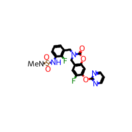 CNS(=O)(=O)Nc1cccc(CN2Cc3cc(F)c(Oc4ncccn4)cc3OC2=O)c1F